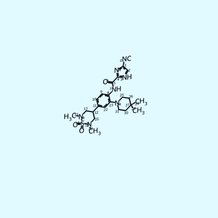 [C-]#[N+]c1c[nH]c(C(=O)Nc2ccc(C3CN(C)S(=O)(=O)N(C)C3)cc2N2CCC(C)(C)CC2)n1